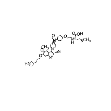 COc1cc2c(N3CCN(N(C=O)c4ccc(OCCN[C@@H](CCSC)C(=O)O)cc4)CC3)c(C#N)cnc2cc1OCCCC1CCNC1